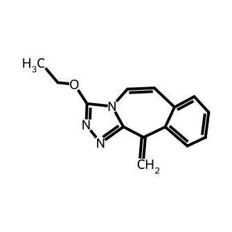 C=C1c2ccccc2C=Cn2c(OCC)nnc21